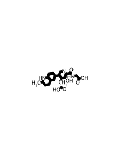 Cc1c(-c2ccc3c(c2)CCC(C)N3)cnc(C(=O)NCC(=O)O)c1O.O=CO